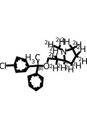 [2H]C([2H])([2H])N1C([2H])([2H])C([2H])([2H])C([2H])([2H])[C@]1([2H])C([2H])([2H])CO[C@](C)(c1ccccc1)c1ccc(Cl)cc1